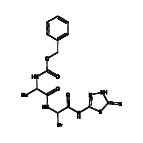 CCC(C)C(NC(=O)OCc1ccccc1)C(=O)NC(C(=O)Nc1n[nH]c(=S)s1)C(C)C